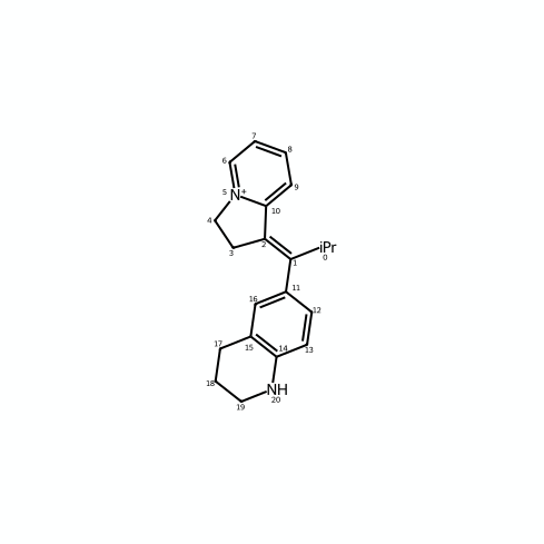 CC(C)C(=C1CC[n+]2ccccc21)c1ccc2c(c1)CCCN2